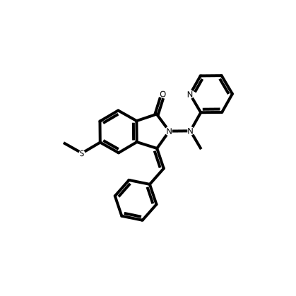 CSc1ccc2c(c1)C(=Cc1ccccc1)N(N(C)c1ccccn1)C2=O